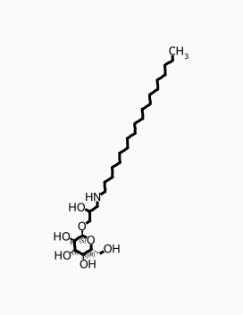 CCCCCCCCCCCCCCCCCCCCNCC(O)CO[C@H]1O[C@H](CO)[C@H](O)[C@H](O)[C@H]1O